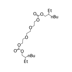 CCCCC(CC)COC(=O)OCCOCCOCCOC(=O)OCC(CC)CCCC